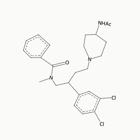 CC(=O)NC1CCN(CCC(CN(C)C(=O)c2ccccc2)c2ccc(Cl)c(Cl)c2)CC1